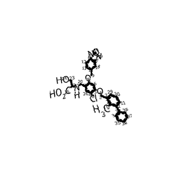 Cc1c(COc2cc(OCc3ccc4nonc4c3)c(CNC(CO)C(=O)O)cc2Cl)cccc1-c1ccccc1